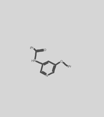 CC(C)Oc1cncc(NC(=O)C(C)C)c1